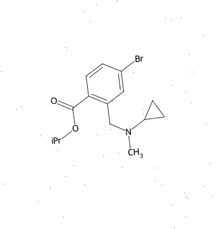 CC(C)OC(=O)c1ccc(Br)cc1CN(C)C1CC1